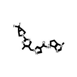 Cc1nc(N2CC3C(C2)C3(F)F)ncc1Cn1cc(C(=O)N[C@@H]2CCc3c2ncn3C)cn1